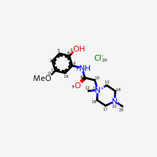 COc1ccc(O)c(NC(=O)C[N+]2(C)CCN(C)CC2)c1.[Cl-]